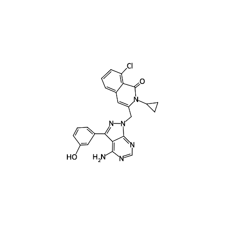 Nc1ncnc2c1c(-c1cccc(O)c1)nn2Cc1cc2cccc(Cl)c2c(=O)n1C1CC1